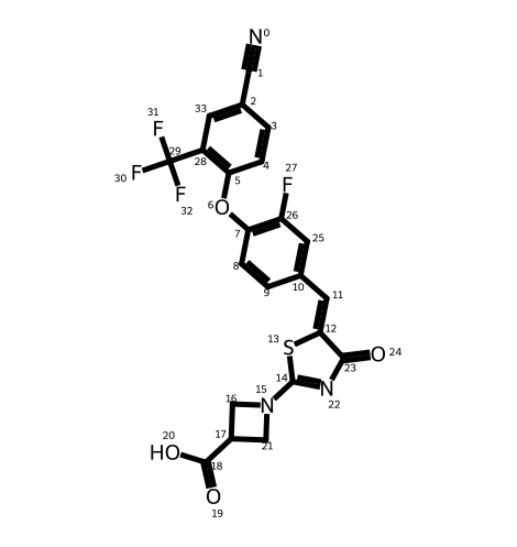 N#Cc1ccc(Oc2ccc(/C=C3\SC(N4CC(C(=O)O)C4)=NC3=O)cc2F)c(C(F)(F)F)c1